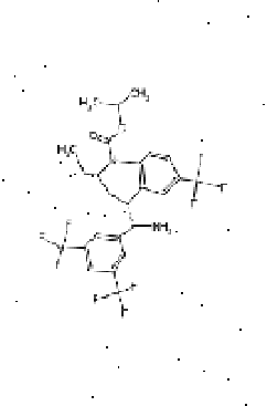 CCC1C[C@@H](C(N)c2cc(C(F)(F)F)cc(C(F)(F)F)c2)c2cc(C(F)(F)F)ccc2N1C(=O)OC(C)C